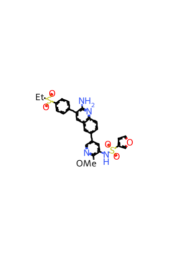 CCS(=O)(=O)c1ccc(-c2cc3cc(-c4cnc(OC)c(NS(=O)(=O)c5ccoc5)c4)ccc3nc2N)cc1